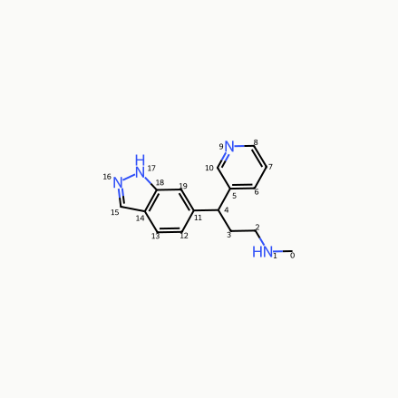 CNCCC(c1cccnc1)c1ccc2cn[nH]c2c1